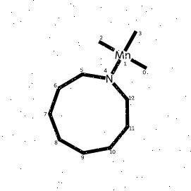 [CH3][Mn]([CH3])([CH3])[N]1CCCCCCCC1